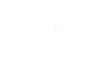 [Au+].[Au+].[Au+].[O-]P([O-])[O-]